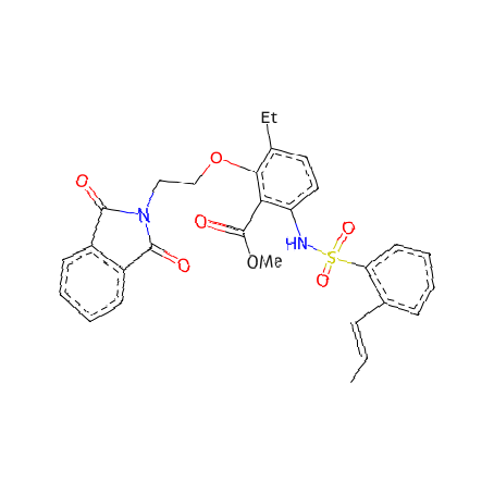 C/C=C/c1ccccc1S(=O)(=O)Nc1ccc(CC)c(OCCN2C(=O)c3ccccc3C2=O)c1C(=O)OC